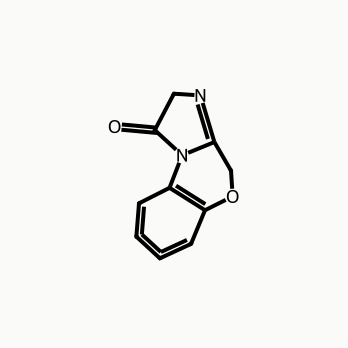 O=C1CN=C2COC3=C(C=C=C=C3)N12